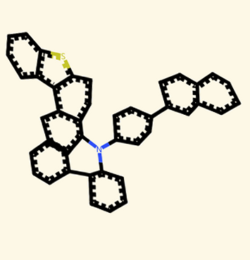 c1ccc(-c2ccccc2N(c2ccc(-c3ccc4ccccc4c3)cc2)c2cccc3c2ccc2sc4ccccc4c23)cc1